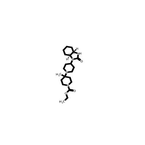 CCOC(=O)N1CCC(C)(N2CCC(N3C(=O)N[C@H]4CCCC[C@@H]43)CC2)CC1